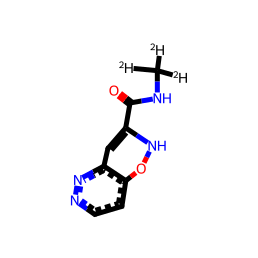 [2H]C([2H])([2H])NC(=O)C1=Cc2nnccc2ON1